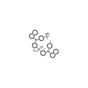 CCCC(C)(C)c1ccc(N(c2cccc(C(CF)(c3cccc(N(c4ccc(C)cc4)c4cccc5ccccc45)c3)C(F)(F)F)c2)c2cccc3ccccc23)cc1